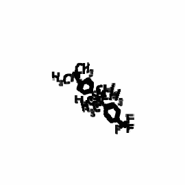 CN(C)c1ccc([Si](C)(C)[Si](C)(C)c2ccc(C(F)(F)F)cc2)cc1